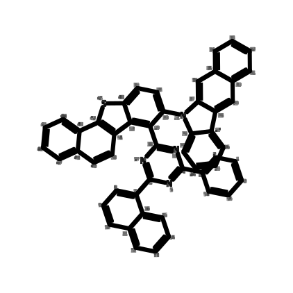 c1ccc(-c2nc(-c3cccc4ccccc34)nc(-c3c(-n4c5ccccc5c5cc6ccccc6cc54)ccc4sc5c6ccccc6ccc5c34)n2)cc1